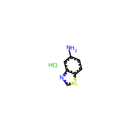 Cl.Nc1ccc2scnc2c1